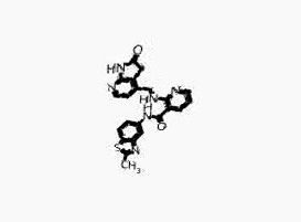 Cc1nc2cc(NC(=O)c3cccnc3NCc3ccnc4c3CC(=O)N4)ccc2s1